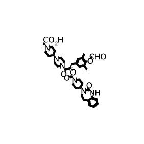 Cc1cc(C[C@@H](OC(=O)N2CCC(N3CCc4ccccc4NC3=O)CC2)C(=O)N2CCN(C3CCN(CC(=O)O)CC3)CC2)cc(C)c1OC=O